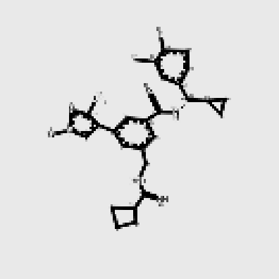 CCn1cc(-c2cc(CNC(=N)C3CCC3)cc(C(=O)N[C@H](c3ccc(F)c(C)c3)C3CC3)c2)c(C(F)(F)F)n1